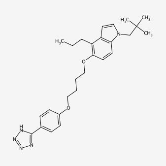 CCCc1c(OCCCCOc2ccc(-c3nnn[nH]3)cc2)ccc2c1ccn2CC(C)(C)C